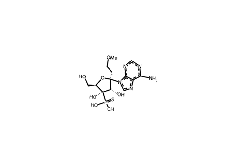 COCC[C@@]1(n2cnc3c(N)ncnc32)O[C@H](CO)[C@](O)(P(O)(O)=S)[C@H]1O